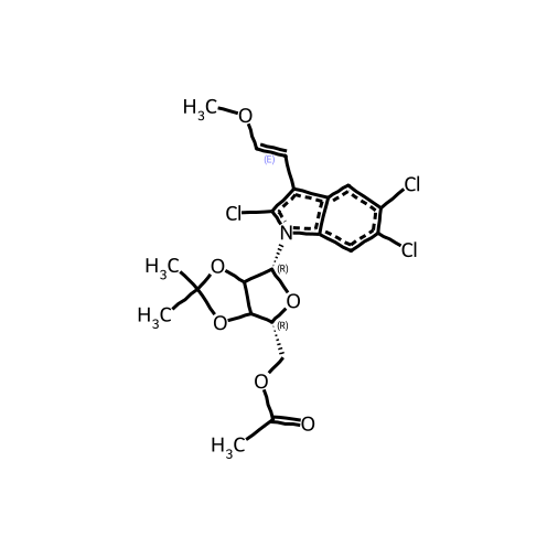 CO/C=C/c1c(Cl)n([C@@H]2O[C@H](COC(C)=O)C3OC(C)(C)OC32)c2cc(Cl)c(Cl)cc12